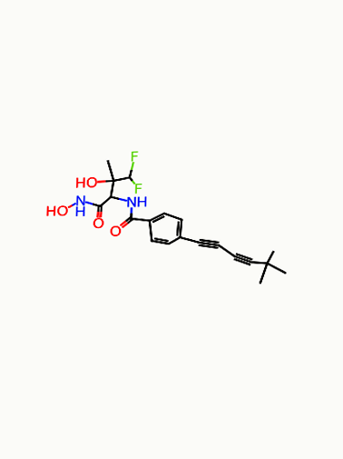 CC(C)(C)C#CC#Cc1ccc(C(=O)NC(C(=O)NO)C(C)(O)C(F)F)cc1